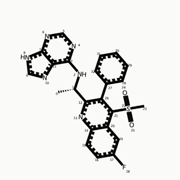 C[C@H](Nc1ncnc2[nH]cnc12)c1nc2ccc(F)cc2c(S(C)(=O)=O)c1-c1ccccc1